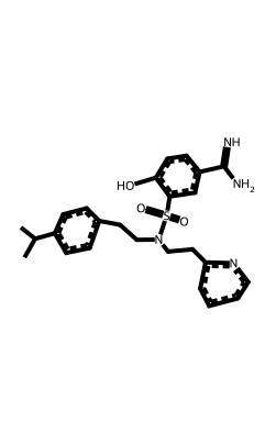 CC(C)c1ccc(CCN(CCc2ccccn2)S(=O)(=O)c2cc(C(=N)N)ccc2O)cc1